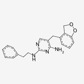 Nc1nc(NCCc2ccccc2)ncc1Cc1cccc2c1COO2